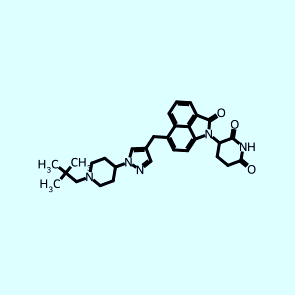 CC(C)(C)CN1CCC(n2cc(Cc3ccc4c5c(cccc35)C(=O)N4C3CCC(=O)NC3=O)cn2)CC1